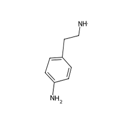 [NH]CCc1ccc(N)cc1